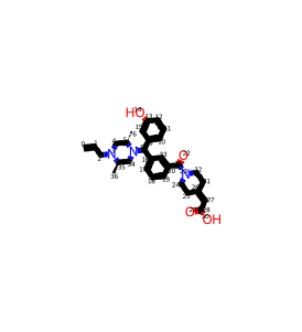 C=CCN1C[C@H](C)N(C(c2cccc(O)c2)c2cccc(C(=O)N3CCC(=CC(=O)O)CC3)c2)C[C@H]1C